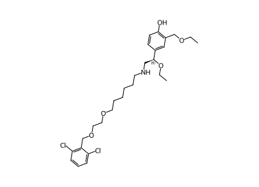 CCOCc1cc([C@H](CNCCCCCCOCCOCc2c(Cl)cccc2Cl)OCC)ccc1O